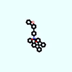 c1ccc(N(c2ccc(-c3ccc4oc5ccccc5c4c3)cc2)c2ccc3c(c2)C2(c4ccccc4-3)c3ccccc3-c3ccc4ccccc4c32)cc1